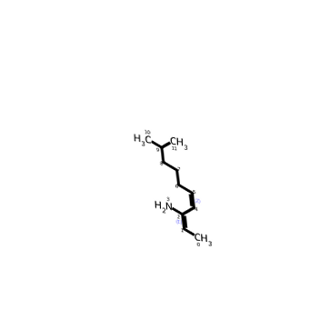 C/C=C(N)\C=C/CCCC(C)C